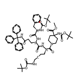 COC(=O)C1(NC(=O)OC(C)(C)C)CCN(C(=O)[C@@H](CCCCNC(=O)OC(C)(C)C)NC(=O)[C@@H](CCC(=O)NC(c2ccccc2)(c2ccccc2)c2ccccc2)NC(=O)[C@@H](Cc2ccccc2)NC(=O)OC(C)(C)C)CC1